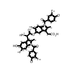 CCCC(C(=O)Oc1cc2c(CC(=O)O)c(C)n(C(=O)c3ccc(Cl)c(F)c3)c2cc1F)c1c(C)n(C(=O)c2ccc(Cl)c(F)c2)c2cc(F)c(O)cc12